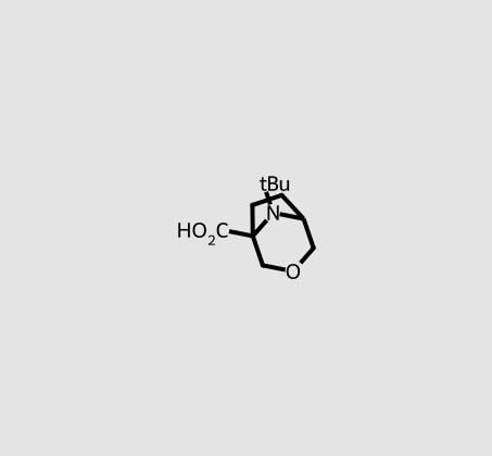 CC(C)(C)N1C2CCC1(C(=O)O)COC2